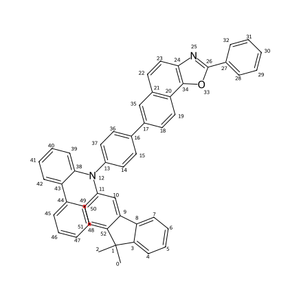 CC1(C)c2ccccc2-c2cc(N(c3ccc(-c4ccc5c(ccc6nc(-c7ccccc7)oc65)c4)cc3)c3ccccc3-c3ccccc3)ccc21